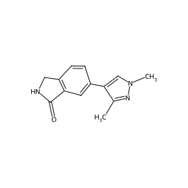 Cc1nn(C)cc1-c1ccc2c(c1)C(=O)NC2